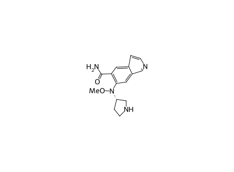 CON(c1cc2cnccc2cc1C(N)=O)[C@H]1CCNC1